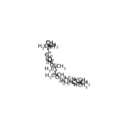 CC(C)(CCC(C)(C)OCCN1CCN(c2cnc(C(C)(C)C)cn2)CC1)COc1ccc(OCCNC(C)(C)C)nc1